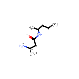 CC(CCC(=O)O)NC(=O)C[C@H](N)C(=O)O